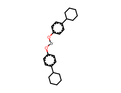 c1cc(C2CCCCC2)ccc1[O][Zr][O]c1ccc(C2CCCCC2)cc1